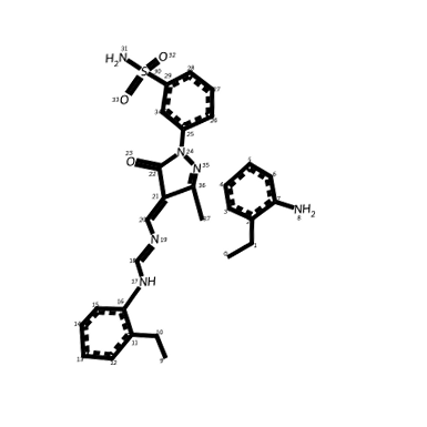 CCc1ccccc1N.CCc1ccccc1NC=NC=C1C(=O)N(c2cccc(S(N)(=O)=O)c2)N=C1C